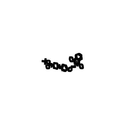 CC(C)(C)OC(=O)N1CCN(c2ccc(OCCN3C(=O)c4ccccc4C3=O)cc2)CC1